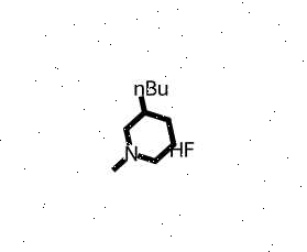 CCCCC1CCCN(C)C1.F